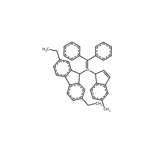 CCc1ccc2c(c1)[CH]([Zr](=[C](c1ccccc1)c1ccccc1)[CH]1C=Cc3cc(C)ccc31)c1cc(CC)ccc1-2